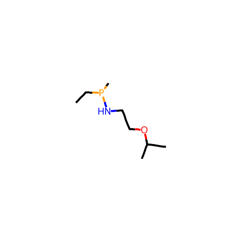 CCP(C)NCCOC(C)C